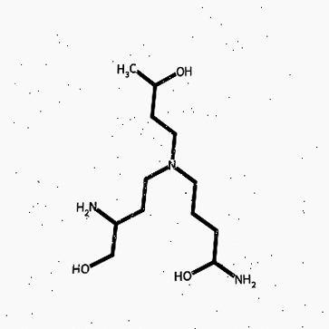 CC(O)CCN(CCCC(N)O)CCC(N)CO